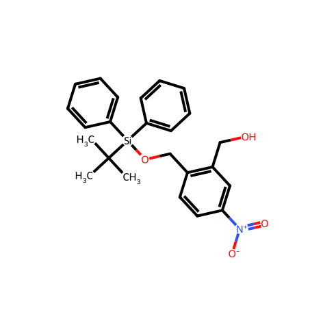 CC(C)(C)[Si](OCc1ccc([N+](=O)[O-])cc1CO)(c1ccccc1)c1ccccc1